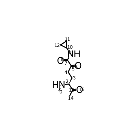 CN[C@@H](CCC(=O)C(=O)NC1CC1)C(C)=O